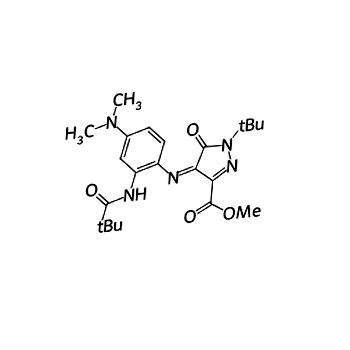 COC(=O)C1=NN(C(C)(C)C)C(=O)/C1=N\c1ccc(N(C)C)cc1NC(=O)C(C)(C)C